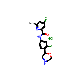 Cl.N#Cc1cc(Cl)cc(C(=O)Nc2ccc(C3CNCCO3)c(F)c2)n1